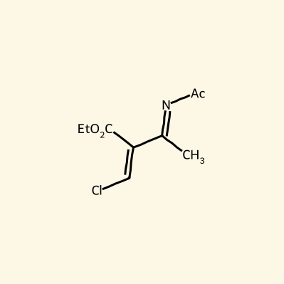 CCOC(=O)/C(=C\Cl)C(C)=NC(C)=O